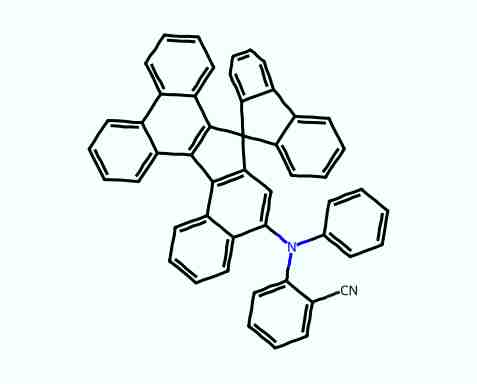 N#Cc1ccccc1N(c1ccccc1)c1cc2c(c3ccccc13)-c1c(c3ccccc3c3ccccc13)C21c2ccccc2-c2ccccc21